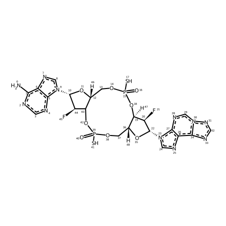 Nc1ncnc2c1ncn2[C@@H]1O[C@@H]2COP(=O)(S)O[C@H]3[C@@H](F)[C@H](n4cnc5c4ncn4ncnc54)O[C@@H]3COP(=O)(S)OC2[C@H]1F